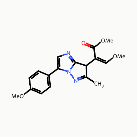 COC=C(C(=O)OC)C1C(C)=Nn2c(-c3ccc(OC)cc3)cnc21